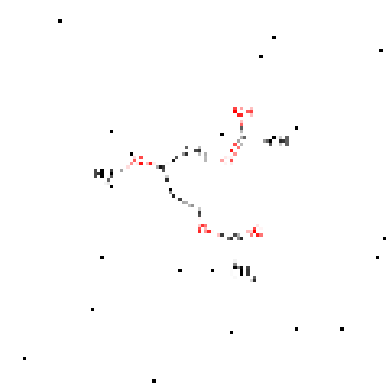 CC(=O)O.COC(C)CCOC(C)=O